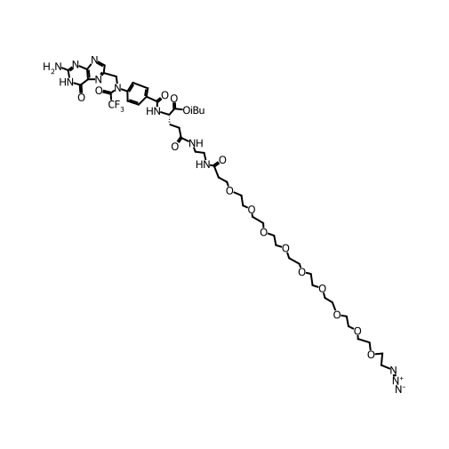 CC(C)COC(=O)[C@H](CCC(=O)NCCNC(=O)CCOCCOCCOCCOCCOCCOCCOCCOCCOCCN=[N+]=[N-])NC(=O)c1ccc(N(Cc2cnc3nc(N)[nH]c(=O)c3n2)C(=O)C(F)(F)F)cc1